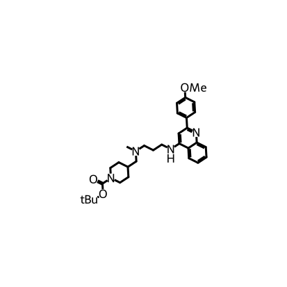 COc1ccc(-c2cc(NCCCN(C)CC3CCN(C(=O)OC(C)(C)C)CC3)c3ccccc3n2)cc1